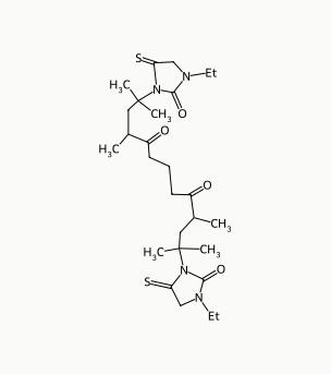 CCN1CC(=S)N(C(C)(C)CC(C)C(=O)CCCC(=O)C(C)CC(C)(C)N2C(=O)N(CC)CC2=S)C1=O